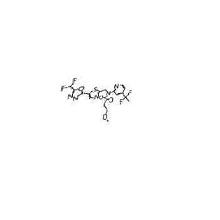 COCCS(=O)(=O)N(Cc1ncc(-c2nnc(C(F)F)o2)s1)c1cc(C(C)(F)F)ccn1